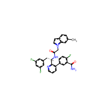 Cc1ccc2ccn(CC(=O)N[C@@H](Cc3cc(F)cc(F)c3)c3ncccc3-c3ccc(F)c(C(N)=O)c3)c2c1